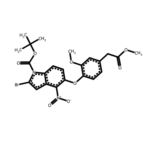 COC(=O)Cc1ccc(Oc2ccc3c(cc(Br)n3C(=O)OC(C)(C)C)c2[N+](=O)[O-])c(OC)c1